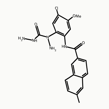 COc1cc(NC(=O)c2ccc3cc(C)ccc3c2)c(N(N)C(=O)NN)cc1Cl